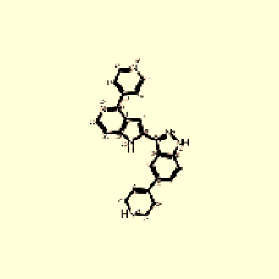 C1=C(c2ccc3[nH]nc(-c4cc5c(-c6ccncc6)nccc5[nH]4)c3c2)CCNC1